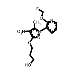 Cc1c([N+](=O)[O-])c(OCCCO)nn1-c1cccnc1OCF